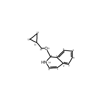 [C]1=Cc2ccccc2C(OCC2CC2)N1